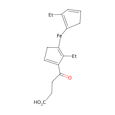 CCC1=[C]([Fe][C]2=C(CC)C(C(=O)CCC(=O)O)=CC2)CC=C1